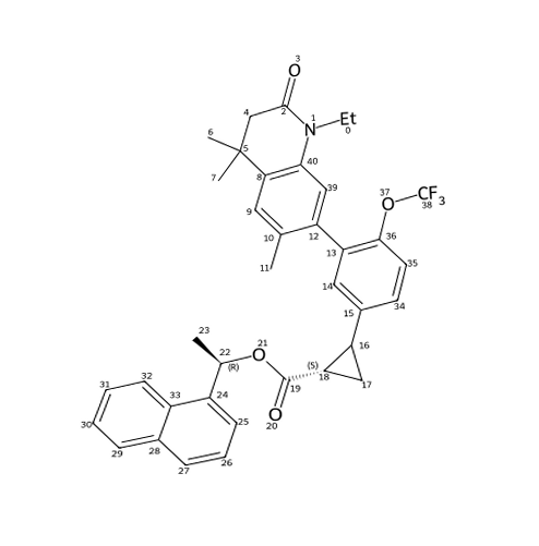 CCN1C(=O)CC(C)(C)c2cc(C)c(-c3cc(C4C[C@@H]4C(=O)O[C@H](C)c4cccc5ccccc45)ccc3OC(F)(F)F)cc21